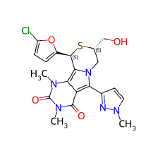 Cn1ccc(-c2c3c(=O)n(C)c(=O)n(C)c3c3n2C[C@@H](CO)S[C@@H]3c2ccc(Cl)o2)n1